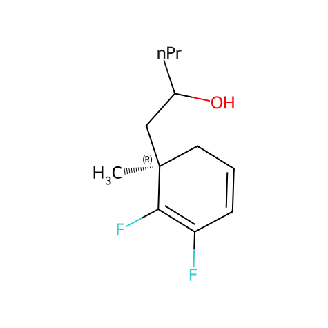 CCCC(O)C[C@@]1(C)CC=CC(F)=C1F